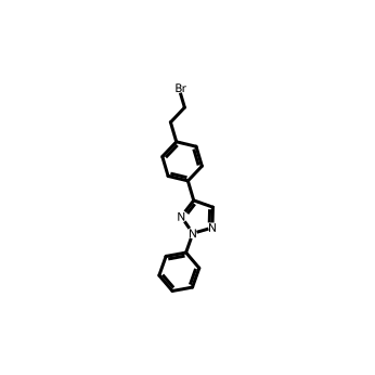 BrCCc1ccc(-c2cnn(-c3ccccc3)n2)cc1